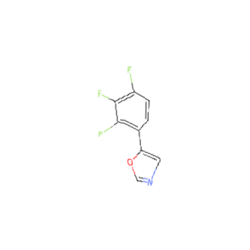 Fc1ccc(-c2cnco2)c(F)c1F